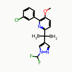 BC(B)(c1cnn(C(F)F)c1)c1ccc(OC)c(-c2cccc(Cl)c2)n1